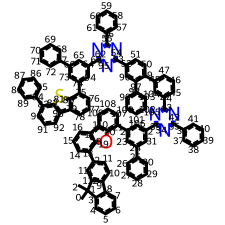 CC1(C)c2ccccc2-c2ccc(-c3cccc4c3oc3c(-c5cc(-c6ccccc6)cc(-c6nc(-c7ccccc7)nc(-c7cccc(-c8ccc(-c9nc(-c%10ccccc%10)nc(-c%10cc(-c%11ccccc%11)cc(-c%11cccc%12c%11sc%11c(-c%13ccccc%13)cccc%11%12)c%10)n9)cc8-c8ccccc8)c7)n6)c5)cccc34)cc21